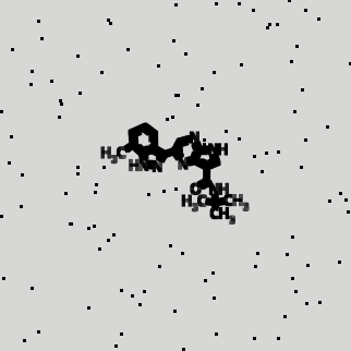 Cc1cccc2c(-c3cnc4[nH]cc(C(=O)NC(C)(C)C)c4n3)n[nH]c12